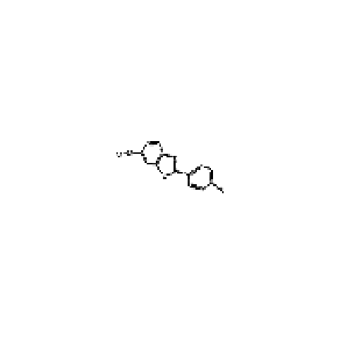 COc1ccc2c(c1)SC(c1ccc(Br)cc1)C2